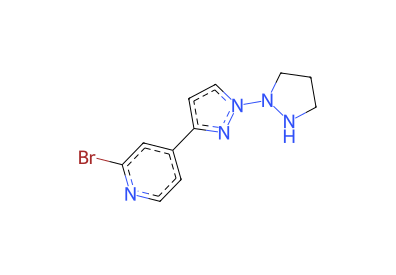 Brc1cc(-c2ccn(N3CCCN3)n2)ccn1